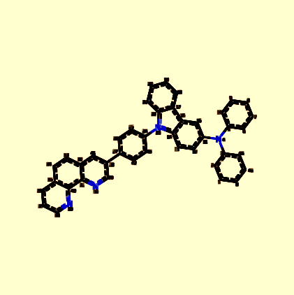 c1ccc(N(c2ccccc2)c2ccc3c(c2)c2ccccc2n3-c2ccc(-c3cnc4c(ccc5cccnc54)c3)cc2)cc1